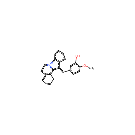 COc1ccc(C=c2c3ccccc3n3ccc4c(c23)CC=CC=4)cc1O